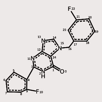 O=c1[nH]c(-c2ccccc2F)nc2ncn(Cc3cccc(F)c3)c12